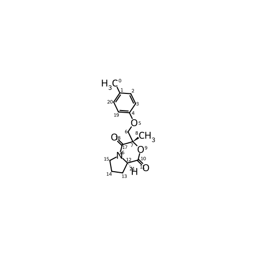 Cc1ccc(OC[C@]2(C)OC(=O)[C@H]3CCCN3C2=O)cc1